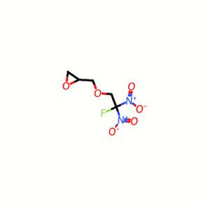 O=[N+]([O-])C(F)(COCC1CO1)[N+](=O)[O-]